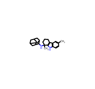 Cc1ccc2[nH]c3c(c2c1)CCCC3(C)NC1C2CC3CC(C2)CC1C3